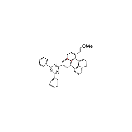 CO/C=C/c1ccccc1-c1cccc2cccc(-c3cccc(-c4nc(-c5ccccc5)nc(-c5ccccc5)n4)c3)c12